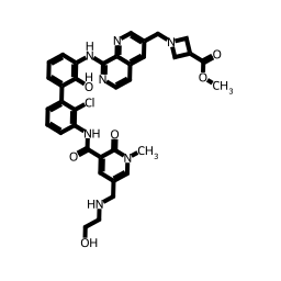 COC(=O)C1CN(Cc2cnc3c(Nc4cccc(-c5cccc(NC(=O)c6cc(CNCCO)cn(C)c6=O)c5Cl)c4O)nccc3c2)C1